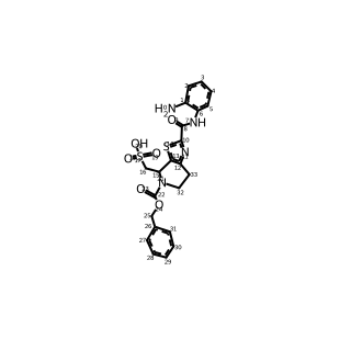 Nc1ccccc1NC(=O)c1nc2c(s1)C(CS(=O)(=O)O)N(C(=O)OCc1ccccc1)CC2